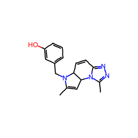 CC1=CC2C(C=Cc3nnc(C)n32)N1Cc1cccc(O)c1